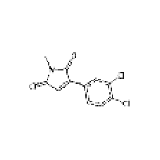 CN1C(=O)C=C(c2ccc(Cl)c(Cl)c2)C1=O